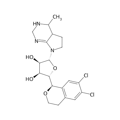 CC1NCN=C2C1CCN2[C@@H]1O[C@H]([C@@H]2OCCc3cc(Cl)c(Cl)cc32)[C@@H](O)[C@H]1O